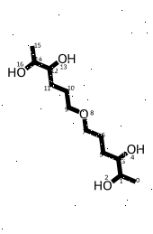 CC(O)C(O)CCCOCCCC(O)C(C)O